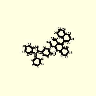 c1ccc(-n2c(-c3ccc(Oc4c5ccccc5c(-c5cccc6ccccc56)c5cnccc45)cc3)nc3ccccc32)cc1